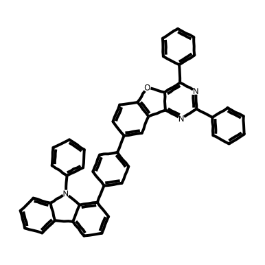 c1ccc(-c2nc(-c3ccccc3)c3oc4ccc(-c5ccc(-c6cccc7c8ccccc8n(-c8ccccc8)c67)cc5)cc4c3n2)cc1